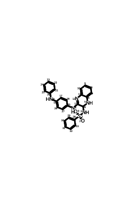 O=S(=O)(NC1Nc2ccccc2N=C1Nc1ccc(Nc2ccccc2)cc1)c1ccccc1